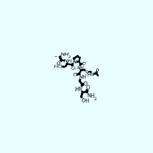 CC(=O)NCSCC(NC(=O)C1CCCN1C(=O)C(CO)NC(=O)[C@H](C)N)C(=O)NCC(=O)NC(CO)C(N)=O